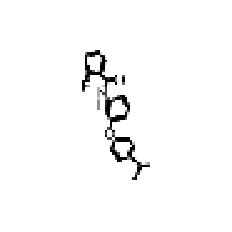 CC(C)c1ccc(Oc2cccc(NC(=O)c3ccccc3F)c2)cc1